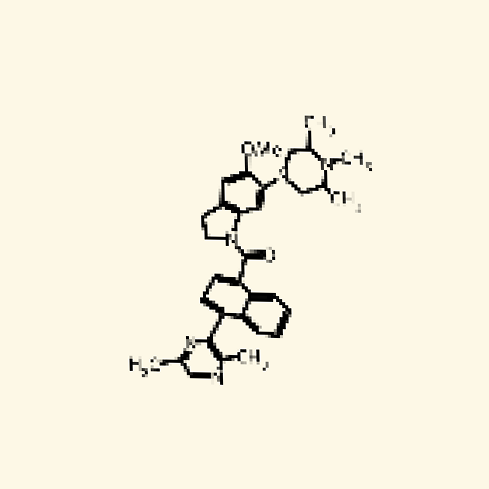 COc1cc2c(cc1N1CC(C)N(C)C(C)C1)N(C(=O)c1ccc(-c3nc(C)cnc3C)c3ccccc13)CC2